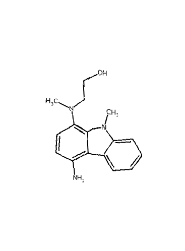 CN(CCO)c1ccc(N)c2c3ccccc3n(C)c12